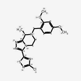 COc1ccc(CN2CCn3c(-c4nc(Cl)ns4)nnc3[C@H]2C)c(OC)c1